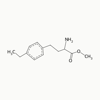 CCc1ccc(CCC(N)C(=O)OC)cc1